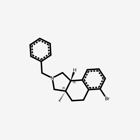 C[C@@]12CCc3c(Br)cccc3[C@H]1CN(Cc1ccccc1)C2